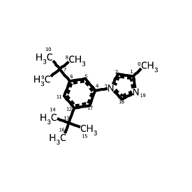 Cc1cn(-c2cc(C(C)(C)C)cc(C(C)(C)C)c2)cn1